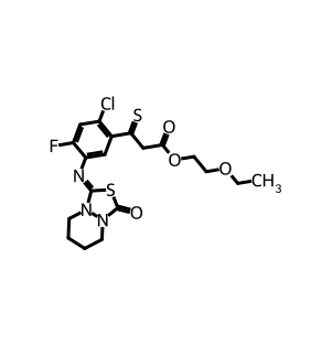 CCOCCOC(=O)CC(=S)c1cc(N=c2sc(=O)n3n2CCCC3)c(F)cc1Cl